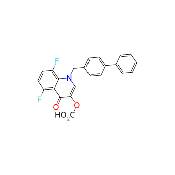 O=C(O)Oc1cn(Cc2ccc(-c3ccccc3)cc2)c2c(F)ccc(F)c2c1=O